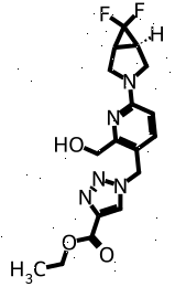 CCOC(=O)c1cn(Cc2ccc(N3CC4[C@H](C3)C4(F)F)nc2CO)nn1